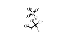 ClCC(Cl)(Cl)Cl.O=S(=O)(Cl)Cl